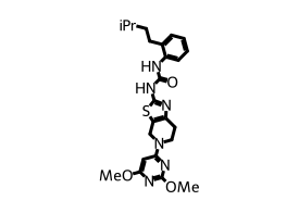 COc1cc(N2CCc3nc(NC(=O)Nc4ccccc4CCC(C)C)sc3C2)nc(OC)n1